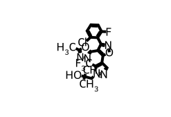 Cc1nnc(-c2c(-c3c(F)cccc3Cl)noc2-c2cnn(CC(C)(C)O)c2C(F)(F)F)o1